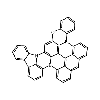 c1ccc2c(c1)Oc1cc3c4c5c1B2c1cccc2cc6cccc(c6c-5c12)B4c1cccc2c4ccccc4n-3c12